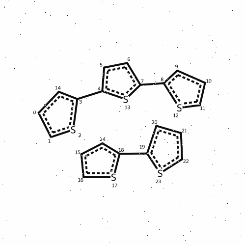 c1csc(-c2ccc(-c3cccs3)s2)c1.c1csc(-c2cccs2)c1